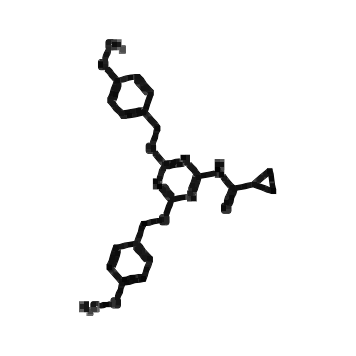 COc1ccc(COc2nc(NC(=O)C3CC3)nc(OCc3ccc(OC)cc3)n2)cc1